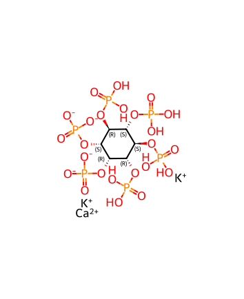 O=P([O-])([O-])O[C@@H]1[C@H](OP(=O)([O-])[O-])[C@@H](OP(=O)(O)O)[C@H](OP(=O)(O)O)[C@@H](OP(=O)(O)O)[C@@H]1OP(=O)(O)O.[Ca+2].[K+].[K+]